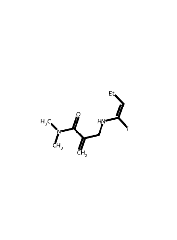 C=C(CN/C(I)=C\CC)C(=O)N(C)C